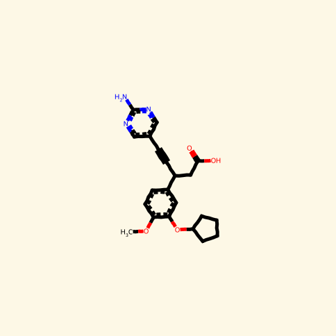 COc1ccc(C(C#Cc2cnc(N)nc2)CC(=O)O)cc1OC1CCCC1